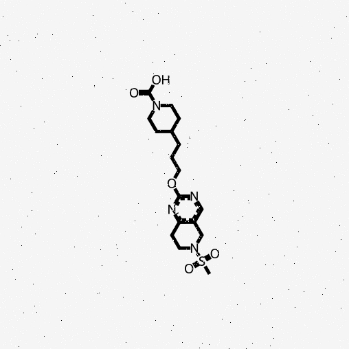 CS(=O)(=O)N1CCc2nc(OCCCC3CCN(C(=O)O)CC3)ncc2C1